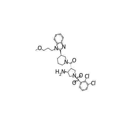 COCCCn1c([C@@H]2CCCN(C(=O)[C@@H]3CN(S(=O)(=O)c4cccc(Cl)c4Cl)C[C@H]3N)C2)nc2ccccc21